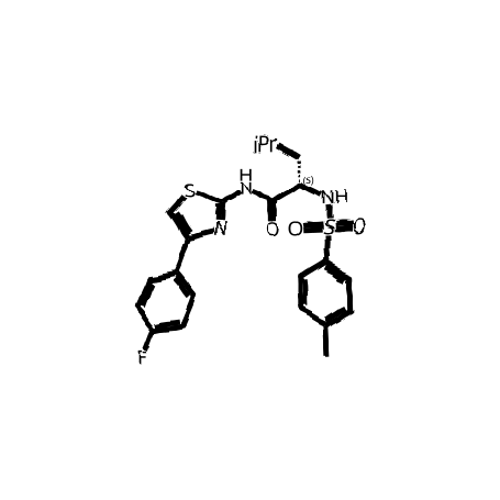 Cc1ccc(S(=O)(=O)N[C@@H](CC(C)C)C(=O)Nc2nc(-c3ccc(F)cc3)cs2)cc1